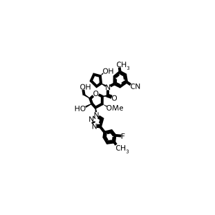 CO[C@@H]1[C@@H](n2cc(-c3ccc(C)c(F)c3)nn2)[C@@H](O)[C@@H](CO)O[C@H]1C(=O)N(c1cc(C)cc(C#N)c1)[C@H]1CCC[C@@H]1O